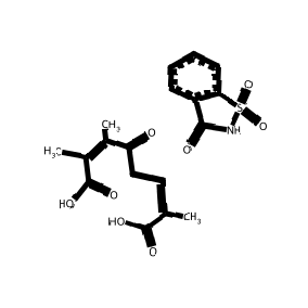 CC(=CCC(=O)C(C)=C(C)C(=O)O)C(=O)O.O=C1NS(=O)(=O)c2ccccc21